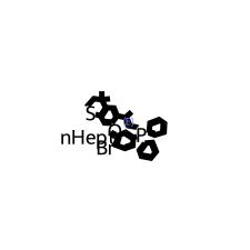 CCCCCCCOc1cc2c(cc1/C(C)=C/C[P+](c1ccccc1)(c1ccccc1)c1ccccc1)C(C)(C)CCS2.[Br-]